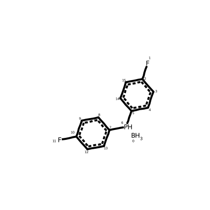 B.Fc1ccc(Pc2ccc(F)cc2)cc1